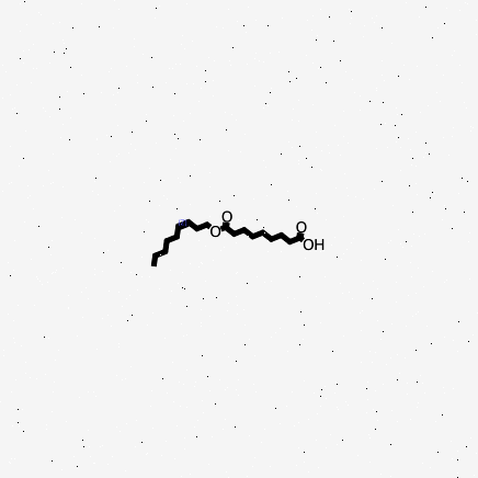 CCCCC/C=C\CCOC(=O)CCCCCCCC(=O)O